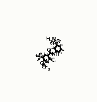 C[Si](C)(C)c1cc(C(=O)Nc2cccc(S(N)(=O)=O)c2)c(Cl)nc1OC(F)(F)F